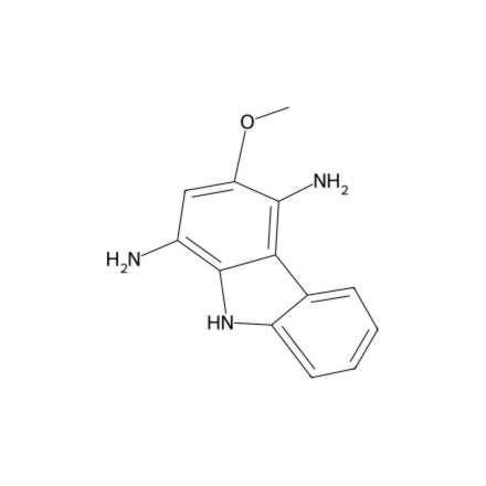 COc1cc(N)c2[nH]c3ccccc3c2c1N